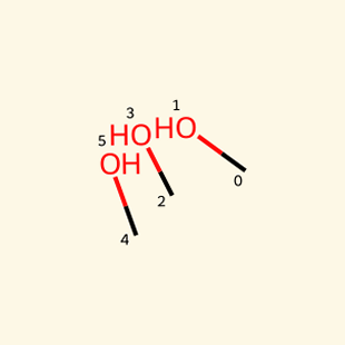 CO.CO.CO